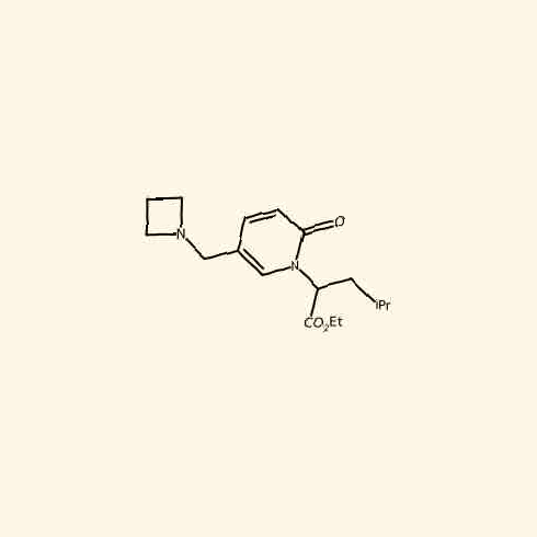 CCOC(=O)C(CC(C)C)n1cc(CN2CCC2)ccc1=O